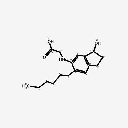 CCCCCCc1cc2c(cc1NCC(=O)O)C(O)CC2